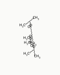 CCCCCC(CCCCC)CCOC(=O)CCCCCCCC(CCCCCCCC(=O)OCCC(CCCCC)CCCCC)OC(C)OCCN(C)C